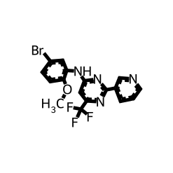 COc1ccc(Br)cc1Nc1cc(C(F)(F)F)nc(-c2cccnc2)n1